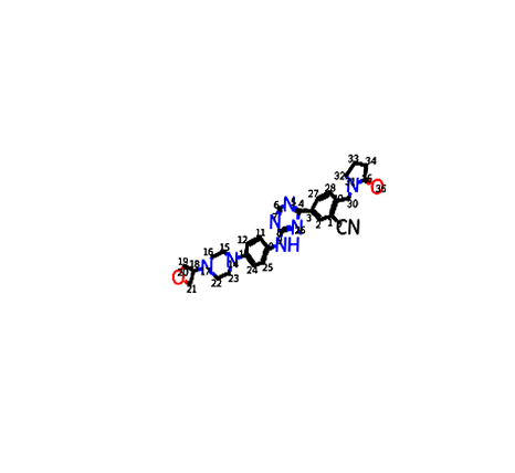 N#Cc1cc(-c2ncnc(Nc3ccc(N4CCN(C5COC5)CC4)cc3)n2)ccc1CN1CCCC1=O